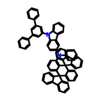 c1ccc(-c2cc(-c3ccccc3)cc(-n3c4ccccc4c4cc(N(c5ccccc5)c5cccc6c5C5(c7ccccc7-c7ccccc75)c5ccccc5C65c6ccccc6-c6ccccc65)ccc43)c2)cc1